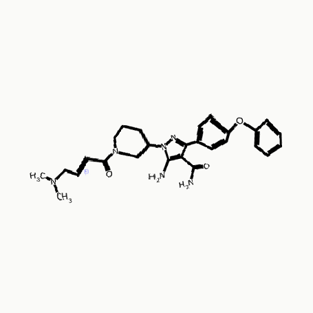 CN(C)C/C=C/C(=O)N1CCCC(n2nc(-c3ccc(Oc4ccccc4)cc3)c(C(N)=O)c2N)C1